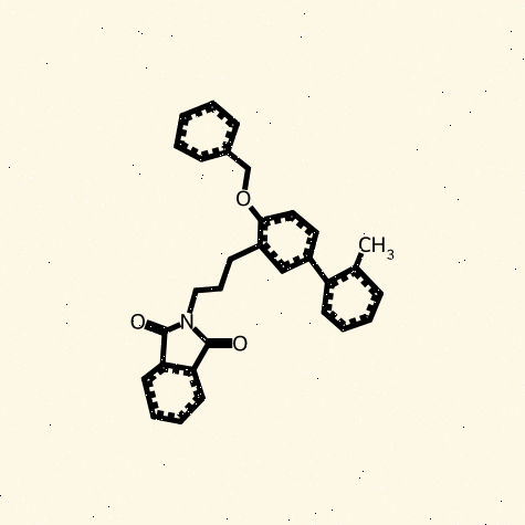 Cc1ccccc1-c1ccc(OCc2ccccc2)c(CCCN2C(=O)c3ccccc3C2=O)c1